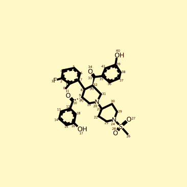 Cc1c(F)cccc1C1[C@@H](C(=O)c2cccc(O)c2)CN(C2CCN(S(C)(=O)=O)CC2)C[C@@H]1C(=O)c1cccc(O)c1